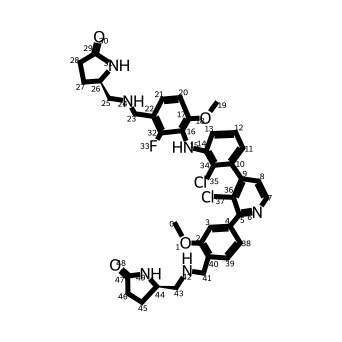 COc1cc(-c2nccc(-c3cccc(Nc4c(OC)ccc(CNC[C@H]5CCC(=O)N5)c4F)c3Cl)c2Cl)ccc1CNC[C@H]1CCC(=O)N1